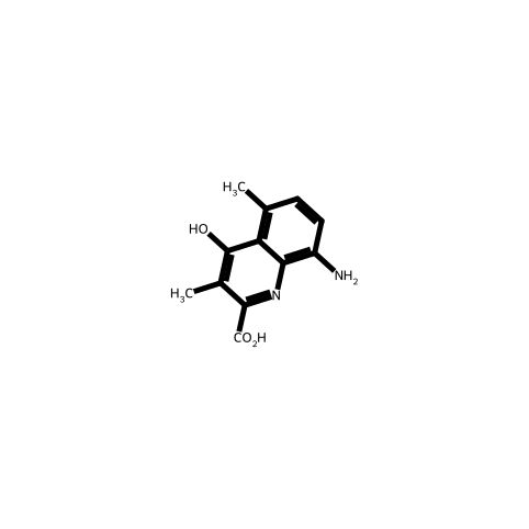 Cc1c(C(=O)O)nc2c(N)ccc(C)c2c1O